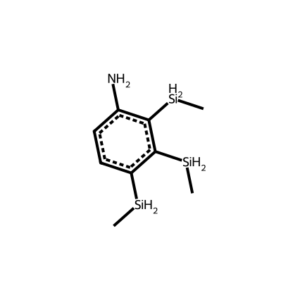 C[SiH2]c1ccc(N)c([SiH2]C)c1[SiH2]C